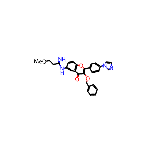 COCCC(=N)Nc1ccc2oc(-c3ccc(-n4ccnc4)cc3)c(OCc3ccccc3)c(=O)c2c1